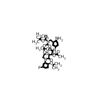 CC(=O)O[C@@H](C(=O)Nc1ccc(N)c(CN(C(=O)OC(C)(C)C)C(=O)OC(C)(C)C)c1)[C@H]1OCCN(c2cc(F)ccc2OC(C)C)C1=O